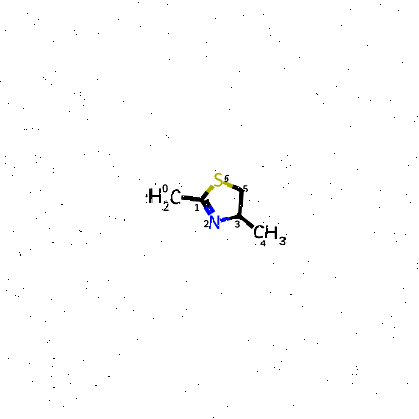 [CH2]C1=NC(C)CS1